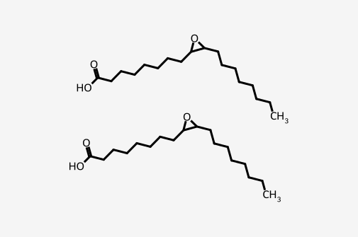 CCCCCCCCC1OC1CCCCCCCC(=O)O.CCCCCCCCC1OC1CCCCCCCC(=O)O